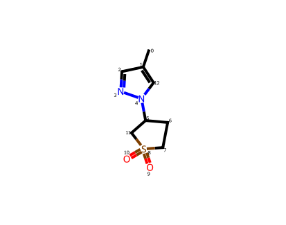 Cc1cnn(C2CCS(=O)(=O)C2)c1